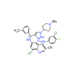 Cc1cccc([C@H](Nc2cc(Cl)c3ncc(C#N)c(Nc4ccc(F)c(Cl)c4)c3c2)C2=CN(C3CCN(C(C)(C)C)CC3)NN2)c1